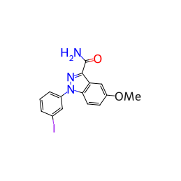 COc1ccc2c(c1)c(C(N)=O)nn2-c1cccc(I)c1